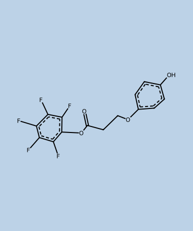 O=C(CCOc1ccc(O)cc1)Oc1c(F)c(F)c(F)c(F)c1F